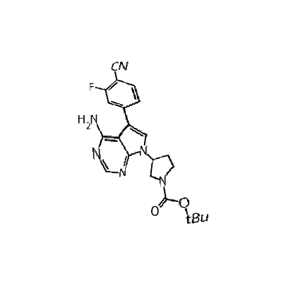 CC(C)(C)OC(=O)N1CCC(n2cc(-c3ccc(C#N)c(F)c3)c3c(N)ncnc32)C1